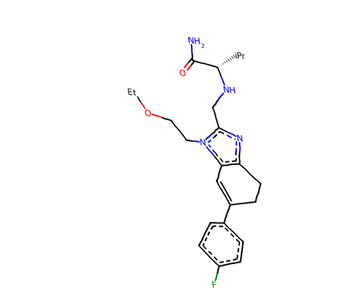 CCOCCn1c(CN[C@H](C(N)=O)C(C)C)nc2c1C=C(c1ccc(F)cc1)CC2